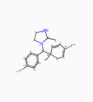 CC1NCCN1C(c1ccc(F)cc1)C1(C)C=CC(F)=CC1